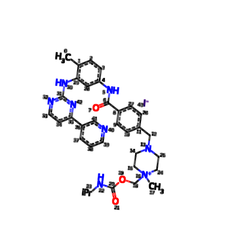 Cc1ccc(NC(=O)c2ccc(CN3CC[N+](C)(COC(=O)NC(C)C)CC3)cc2)cc1Nc1nccc(-c2cccnc2)n1.[I-]